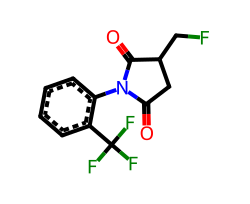 O=C1CC(CF)C(=O)N1c1ccccc1C(F)(F)F